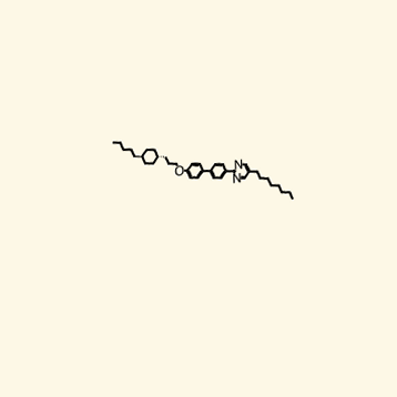 CCCCCCCCc1cnc(-c2ccc(-c3ccc(OCCC[C@H]4CC[C@H](CCCCC)CC4)cc3)cc2)nc1